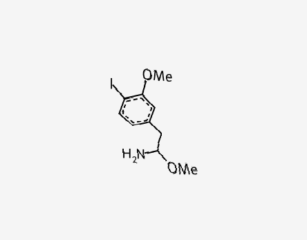 COc1cc(CC(N)OC)ccc1I